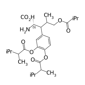 CC(C)C(=O)OCC(C)C(c1ccc(OC(=O)C(C)C(C)C)c(OC(=O)C(C)C(C)C)c1)[C@H](N)C(=O)O